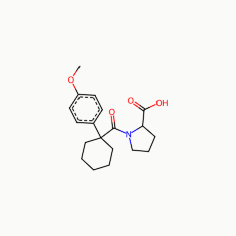 COc1ccc(C2(C(=O)N3CCCC3C(=O)O)CCCCC2)cc1